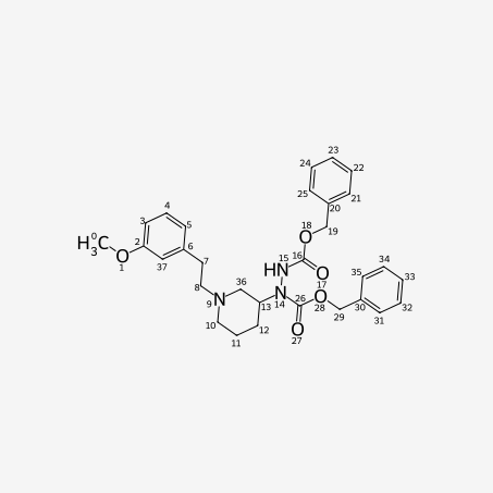 COc1cccc(CCN2CCCC(N(NC(=O)OCc3ccccc3)C(=O)OCc3ccccc3)C2)c1